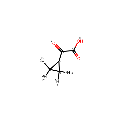 [2H]C1([2H])C(C(=O)C(=O)O)C1([2H])[2H]